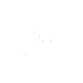 COc1cc2c(cc1C(=O)Nc1cc(C)n(C(C)(C)C)n1)CCCCC2